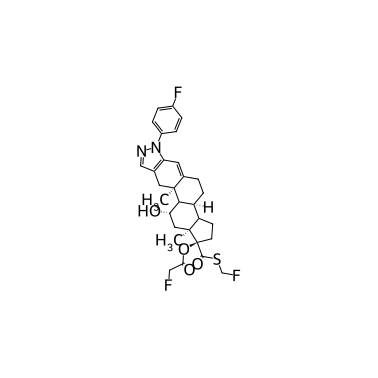 C[C@]12Cc3cnn(-c4ccc(F)cc4)c3C=C1CC[C@@H]1C2[C@@H](O)C[C@@]2(C)C1CC[C@]2(OC(=O)CF)C(=O)SCF